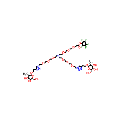 C[C@H]1[C@H](OCCc2cn(CCOCCOCCOCCN(CCOCCOCCOCCC(=O)Oc3c(F)c(F)c(F)c(F)c3F)CCOCCOCCOCCn3cc(CCO[C@@H]4O[C@H](CO)[C@H](O)[C@H](O)[C@H]4C)nn3)nn2)O[C@H](CO)[C@H](O)[C@@H]1O